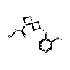 CC(C)(C)OC(=O)N1CC[C@]12C[C@@H](Oc1ccncc1N)C2